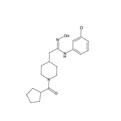 O=C(C1CCCC1)N1CCC(C/C(=N/O)Nc2cccc(Cl)c2)CC1